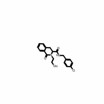 O=C(NCc1ccc(Cl)cc1)C1Cc2cc[c]cc2C(=O)N1CCO